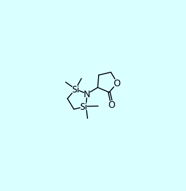 C[Si]1(C)CC[Si](C)(C)N1C1CCOC1=O